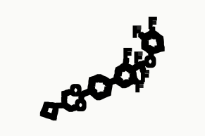 Fc1ccc(OC(F)(F)c2c(F)cc(-c3ccc(C4OCC(C5CCC5)CO4)cc3)cc2F)cc1F